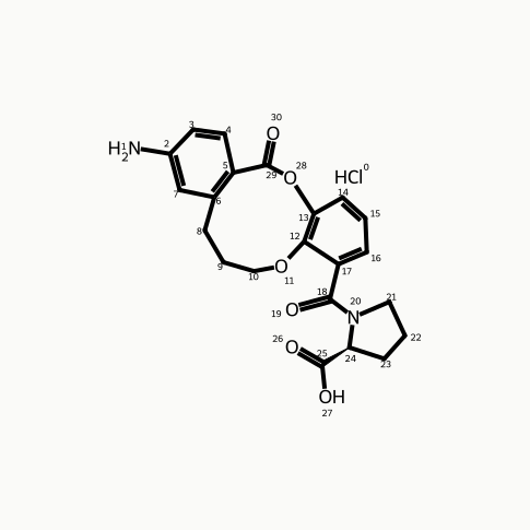 Cl.Nc1ccc2c(c1)CCCOc1c(cccc1C(=O)N1CCC[C@H]1C(=O)O)OC2=O